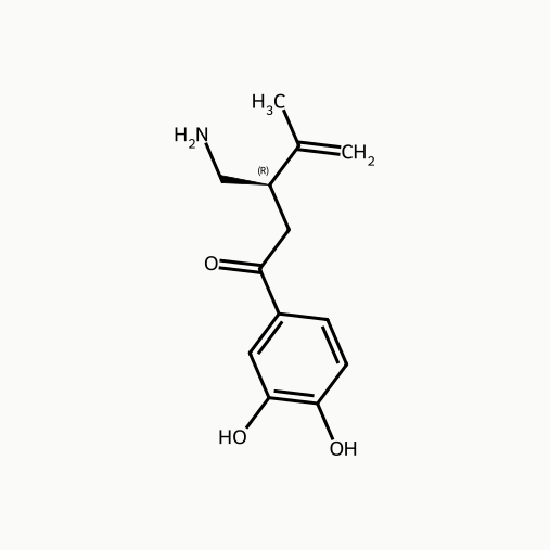 C=C(C)[C@H](CN)CC(=O)c1ccc(O)c(O)c1